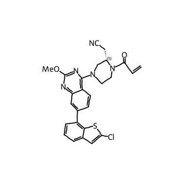 C=CC(=O)N1CCN(c2nc(OC)nc3cc(-c4cccc5cc(Cl)sc45)ccc23)C[C@@H]1CC#N